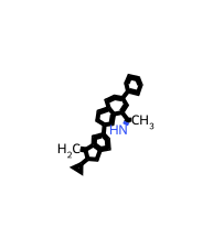 C=C1c2cc(C3C=C4C(=CC3)C=C=C(C3=CC=C=C=C3)C=C4C(C)=N)ccc2CC1C1CC1